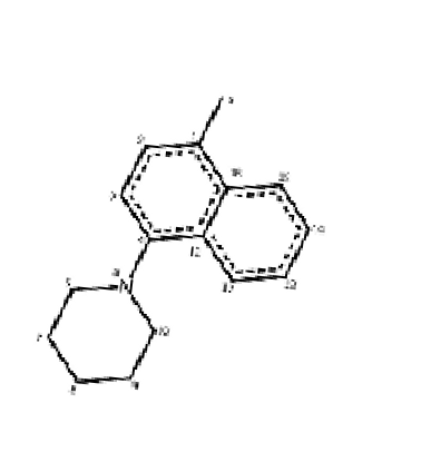 Cc1ccc(N2CCCCC2)c2ccccc12